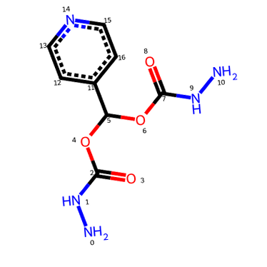 NNC(=O)OC(OC(=O)NN)c1ccncc1